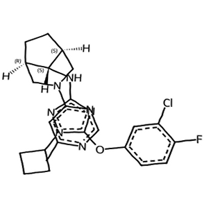 Cc1cc(N2C[C@H]3CC[C@@H](C2)[C@@H]3Nc2nc(Oc3ccc(F)c(Cl)c3)n(C3CCC3)n2)ncn1